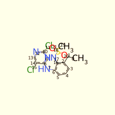 CCc1cccc(Nc2nc(Cl)ncc2Cl)c1NS(C)(=O)=O